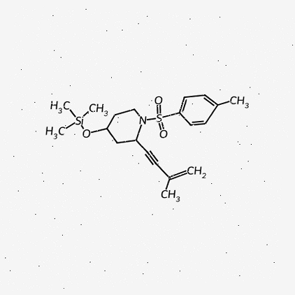 C=C(C)C#CC1CC(O[Si](C)(C)C)CCN1S(=O)(=O)c1ccc(C)cc1